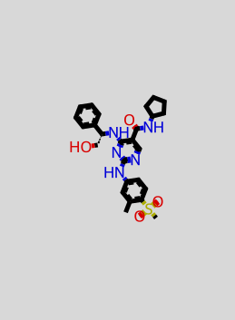 Cc1cc(Nc2ncc(C(=O)NC3CCCC3)c(N[C@H](CO)c3ccccc3)n2)ccc1S(C)(=O)=O